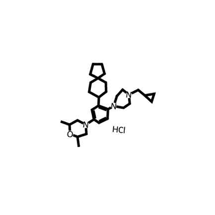 CC1CN(c2ccc(N3CCN(CC4CC4)CC3)c(C3CCC4(CCCC4)CC3)c2)CC(C)O1.Cl